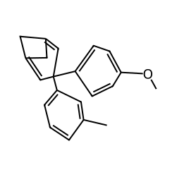 COc1ccc(C2(c3cccc(C)c3)C=C3CC(=C2)C3)cc1